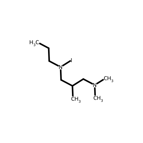 CCCN(I)CC(C)CN(C)C